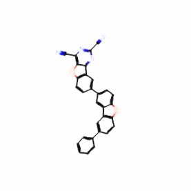 N#Cc1nc(C#N)c2oc3ccc(-c4ccc5oc6ccc(-c7ccccc7)cc6c5c4)cc3c2n1